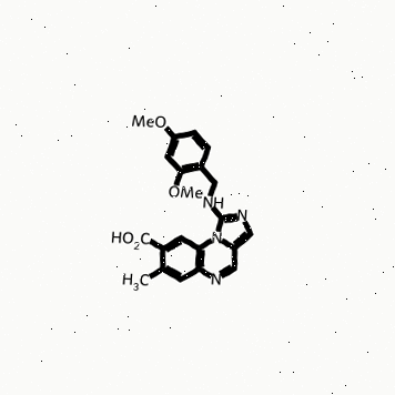 COc1ccc(CNc2ncc3cnc4cc(C)c(C(=O)O)cc4n23)c(OC)c1